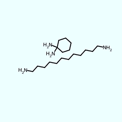 NC1(N)CCCCC1.NCCCCCCCCCCCCN